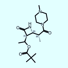 CC(OC(=O)C(C)(C)C)[C@H]1C(=O)N[C@@H]1[C@@H](C)C(=O)N1CCN(C)CC1